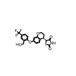 O=C1NC(=O)C([C@@H]2CCOc3cc(Oc4ccc(C(F)(F)F)cc4CO)ccc32)S1